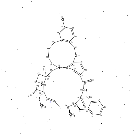 CO[C@@]1(C=O)/C=C/C[C@H](C)[C@H](Cc2ccccc2)S(=O)(=O)NC(=O)c2ccc3c(c2)N(CCCCc2cc(Cl)ccc2CO3)C[C@@H]2CC[C@H]21